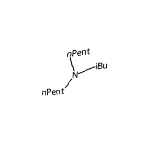 CCCCCN(CCCCC)C(C)CC